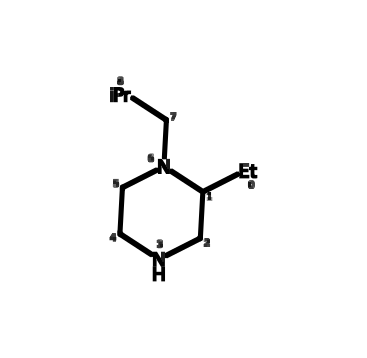 CCC1CNCCN1CC(C)C